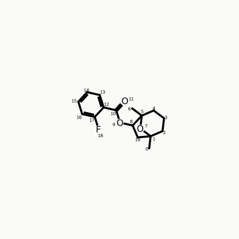 CC12CCCC(C)(O1)C(OC(=O)c1ccccc1F)C2